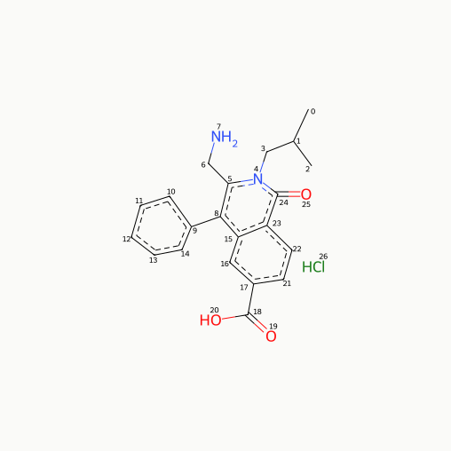 CC(C)Cn1c(CN)c(-c2ccccc2)c2cc(C(=O)O)ccc2c1=O.Cl